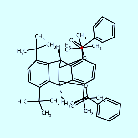 CC(C)(C)c1ccc(C(C)(C)C)c2c1[C@H]1c3c(C(C)(C)C)ccc(C(C)(C)C)c3[C@H]2C(OC(=O)c2ccccc2)C1OC(=O)c1ccccc1